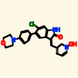 O=C1Nc2cc(Cl)c(-c3ccc(N4CCOCC4)cc3)cc2C1=CC1=CC=CN(O)C1